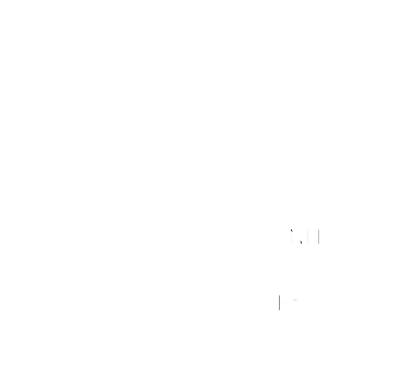 CCc1ccc(C)cc1C1(N)CCCCC1